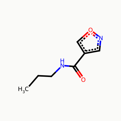 CCCNC(=O)c1cnoc1